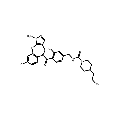 Cn1ncc2c1Nc1cc(Cl)ccc1N(C(=O)c1ccc(CNC(=O)N3CCN(CCC(C)(C)C)CC3)cc1Cl)C2